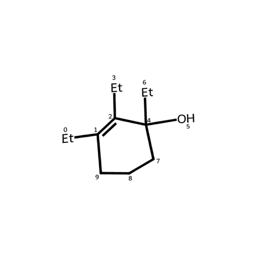 CCC1=C(CC)C(O)(CC)CCC1